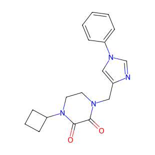 O=C1C(=O)N(C2CCC2)CCN1Cc1cn(-c2ccccc2)cn1